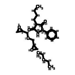 C(OCC1CO1)C1CO1.CCCCC1C(=O)NN(c2ccccc2)C1=O.CCOCC